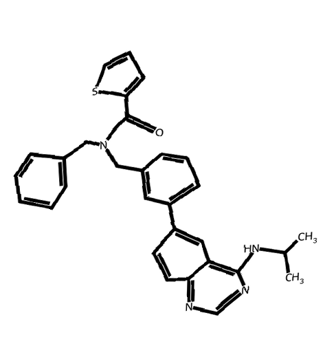 CC(C)Nc1ncnc2ccc(-c3cccc(CN(Cc4ccccc4)C(=O)c4cccs4)c3)cc12